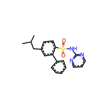 CC(C)Cc1ccc(S(=O)(=O)Nc2ncccn2)c(-c2ccccc2)c1